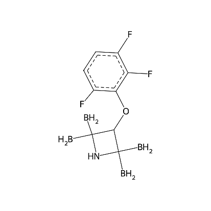 BC1(B)NC(B)(B)C1Oc1c(F)ccc(F)c1F